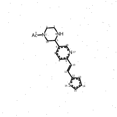 CC(=O)N1CCNC(c2ccc(C=Cc3cc[c]s3)nc2)C1